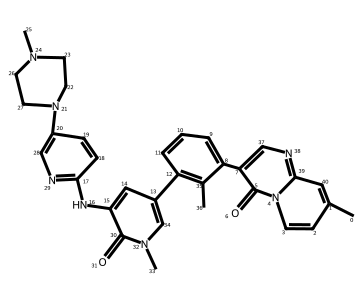 Cc1ccn2c(=O)c(-c3cccc(-c4cc(Nc5ccc(N6CCN(C)CC6)cn5)c(=O)n(C)c4)c3C)cnc2c1